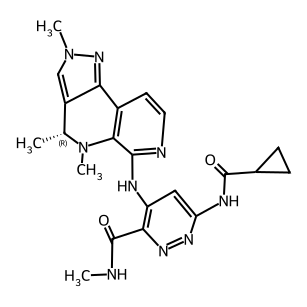 CNC(=O)c1nnc(NC(=O)C2CC2)cc1Nc1nccc2c1N(C)[C@H](C)c1cn(C)nc1-2